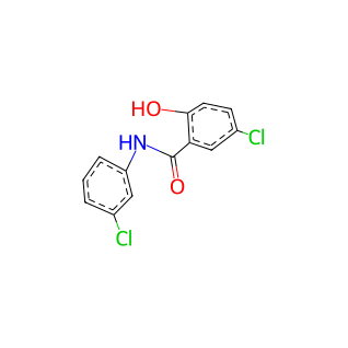 O=C(Nc1cccc(Cl)c1)c1cc(Cl)ccc1O